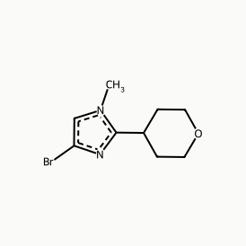 Cn1cc(Br)nc1C1CCOCC1